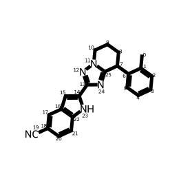 Cc1ccccc1C1CCCn2nc(-c3cc4cc(C#N)ccc4[nH]3)nc21